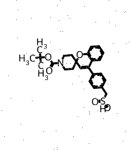 CC(C)(C)OC(=O)N1CCC2(C=C(c3ccc(C[SH](=O)=O)cc3)c3ccccc3O2)CC1